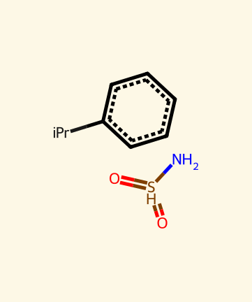 CC(C)c1ccccc1.N[SH](=O)=O